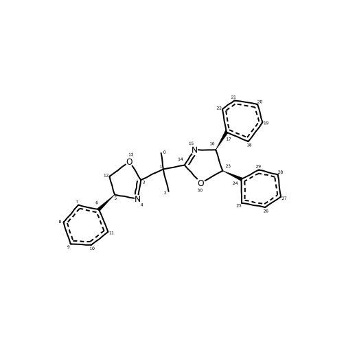 CC(C)(C1=N[C@@H](c2ccccc2)CO1)C1=N[C@@H](c2ccccc2)[C@@H](c2ccccc2)O1